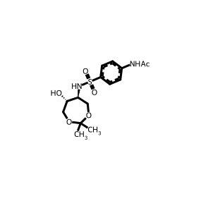 CC(=O)Nc1ccc(S(=O)(=O)N[C@H]2COC(C)(C)OC[C@@H]2O)cc1